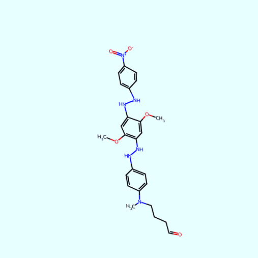 COc1cc(NNc2ccc([N+](=O)[O-])cc2)c(OC)cc1NNc1ccc(N(C)CCCC=O)cc1